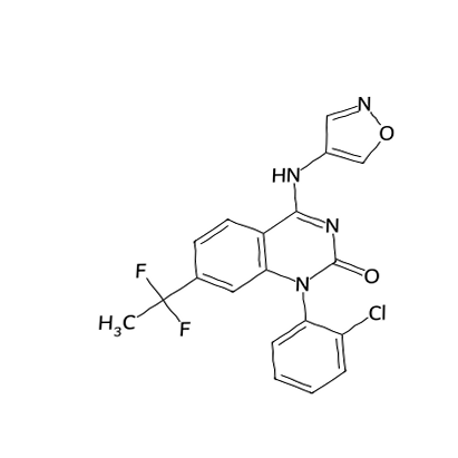 CC(F)(F)c1ccc2c(Nc3cnoc3)nc(=O)n(-c3ccccc3Cl)c2c1